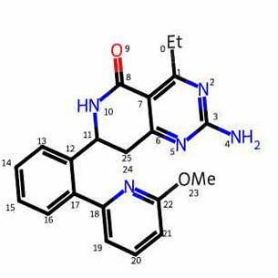 CCc1nc(N)nc2c1C(=O)NC(c1ccccc1-c1cccc(OC)n1)C2